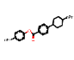 CCCc1ccc(OC(=O)c2ccc(C3CCC(CCC)CC3)cc2)cc1